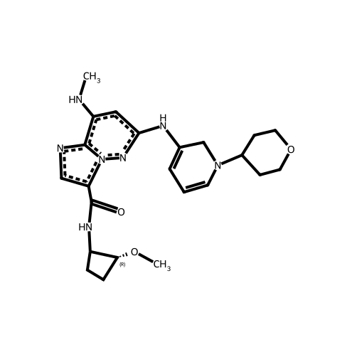 CNc1cc(NC2=CC=CN(C3CCOCC3)C2)nn2c(C(=O)NC3CC[C@H]3OC)cnc12